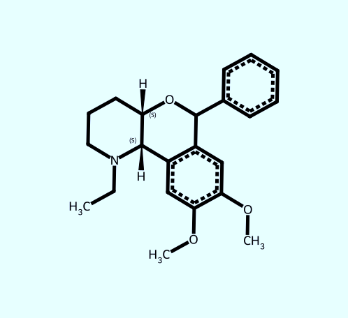 CCN1CCC[C@@H]2OC(c3ccccc3)c3cc(OC)c(OC)cc3[C@@H]21